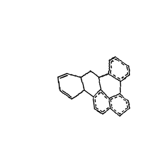 C1=CC2CC3c4ccccc4-c4cccc5ccc(c3c45)C2C=C1